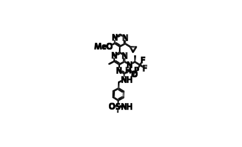 COc1ncnc(C2CC2)c1-c1nc(C)c2nc(NCc3ccc(S(C)(=N)=O)cc3)c(=O)n([C@@H](C)C(F)(F)P)c2n1